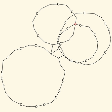 C1CCCCCCCCCCCC(C2CCCCCCCCCCCCCCC2)(C2CCCCCCCCCCCCCC2)[C](C2CCCCCCCCCCCCCCCCCCC2)CCCCCCCCCC1